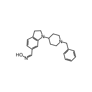 O/N=C\c1ccc2c(c1)N(C1CCN(Cc3ccccc3)CC1)CC2